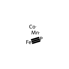 [Co].[Mn].[P]#[Fe]